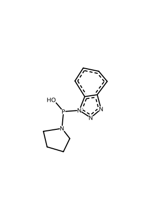 OP(N1CCCC1)n1nnc2ccccc21